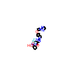 O=C(NC1(C(=O)O)CCCCC1)c1cnc(N2CCc3cc(O[C@@H]4CCN(c5ncccn5)C4)ccc32)nc1C(F)(F)F